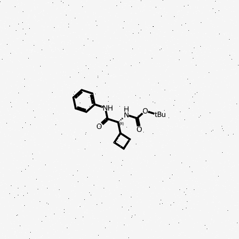 CC(C)(C)OC(=O)N[C@@H](C(=O)Nc1ccccc1)C1CCC1